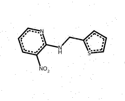 O=[N+]([O-])c1cccnc1NCc1cccs1